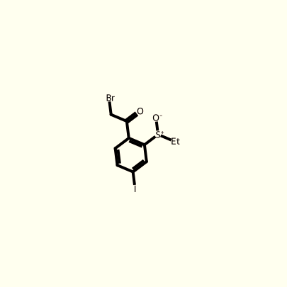 CC[S+]([O-])c1cc(I)ccc1C(=O)CBr